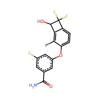 NC(=O)c1cc(F)cc(OC2=C=C=C3C(=C2I)C(O)C3(F)F)c1